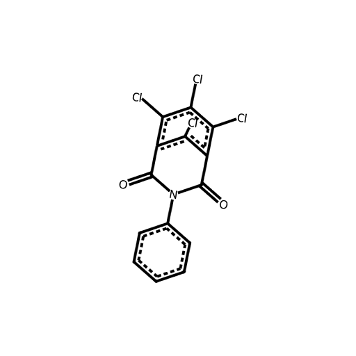 O=C1c2c(Cl)c(Cl)c(Cl)c(c2Cl)C(=O)N1c1ccccc1